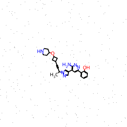 CC(C#CC1CC(OC2CCNCC2)C1)n1cc(-c2cc(-c3ccccc3O)nnc2N)cn1